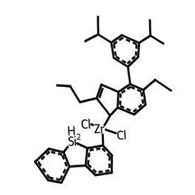 CCCC1=Cc2c(ccc(CC)c2-c2cc(C(C)C)cc(C(C)C)c2)[CH]1[Zr]([Cl])([Cl])[c]1cccc2c1[SiH2]c1ccccc1-2